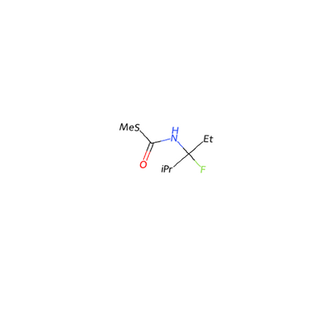 CCC(F)(NC(=O)SC)C(C)C